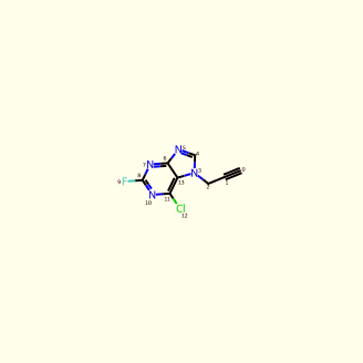 C#CCn1cnc2nc(F)nc(Cl)c21